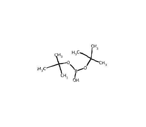 CC(C)(C)OB(O)OC(C)(C)C